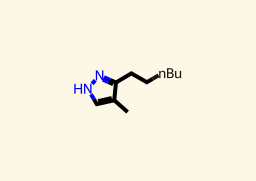 [CH2]CCCCCc1n[nH]cc1C